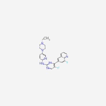 CCN1CCN(c2ccc(Nc3ncc(F)c(-c4cc(F)c5ncccc5c4)n3)nc2)CC1